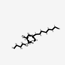 CCCCCCCCc1ccc(OCCCC)c([S])c1